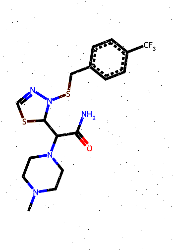 CN1CCN(C(C(N)=O)C2SC=NN2SCc2ccc(C(F)(F)F)cc2)CC1